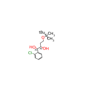 CC(C)(C)[Si](C)(C)OCC[C@@H](O)[C@H](O)c1ccccc1Cl